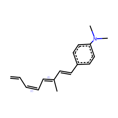 C=C/C=C\C=C(/C)C=Cc1ccc(N(C)C)cc1